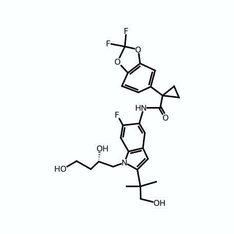 CC(C)(CO)c1cc2cc(NC(=O)C3(c4ccc5c(c4)OC(F)(F)O5)CC3)c(F)cc2n1C[C@@H](O)CCO